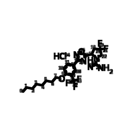 CCCCCCCCOc1ccc(-c2noc(C3CC(F)(F)CN3C(=N)N)n2)cc1C(F)(F)F.Cl